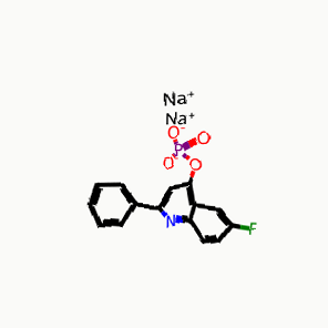 O=P([O-])([O-])Oc1cc(-c2ccccc2)nc2ccc(F)cc12.[Na+].[Na+]